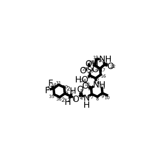 [2H]C([2H])(OC(=O)NC(CC(C)C)C(=O)NC(CC1CCNC1=O)C(O)S(=O)(=O)O)C1CCC(F)(F)CC1